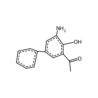 CC(=O)c1cc(-c2ccccc2)cc(N)c1O